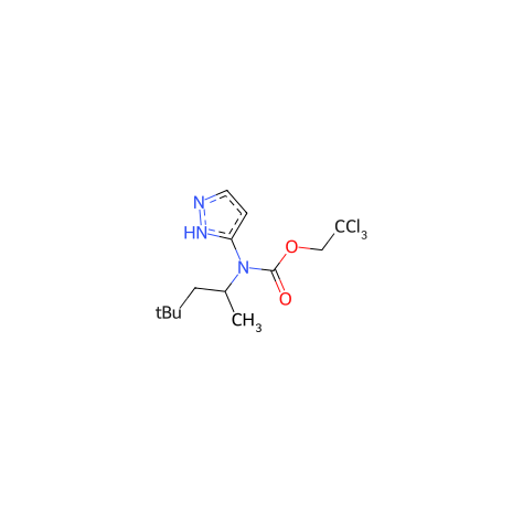 CC(CC(C)(C)C)N(C(=O)OCC(Cl)(Cl)Cl)c1ccn[nH]1